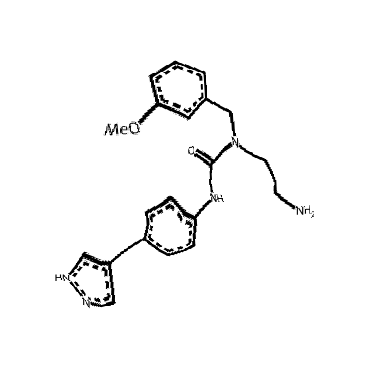 COc1cccc(CN(CCN)C(=O)Nc2ccc(-c3cn[nH]c3)cc2)c1